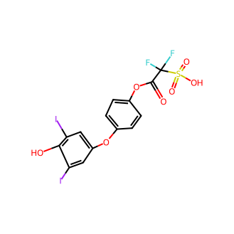 O=C(Oc1ccc(Oc2cc(I)c(O)c(I)c2)cc1)C(F)(F)S(=O)(=O)O